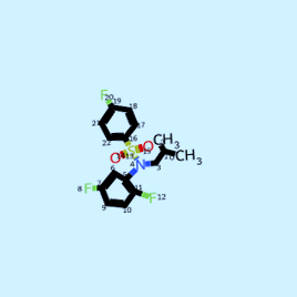 CC(C)CN(c1cc(F)ccc1F)S(=O)(=O)c1ccc(F)cc1